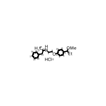 CCC(OC)c1ccc(OCCNC(C)Cc2ccccc2)cc1.Cl